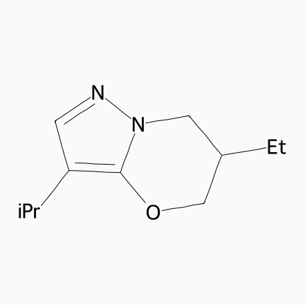 CCC1COc2c(C(C)C)cnn2C1